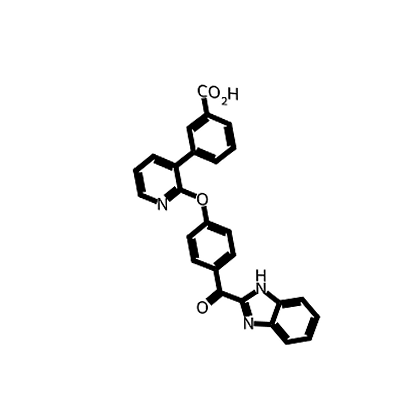 O=C(O)c1cccc(-c2cccnc2Oc2ccc(C(=O)c3nc4ccccc4[nH]3)cc2)c1